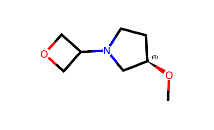 CO[C@@H]1CCN(C2COC2)C1